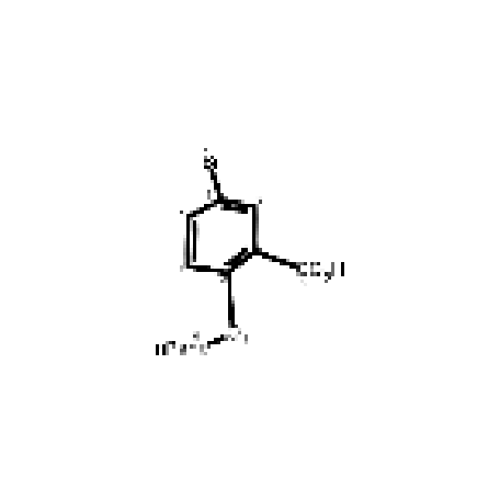 CCCCCOc1ccc(Br)cc1C(=O)O